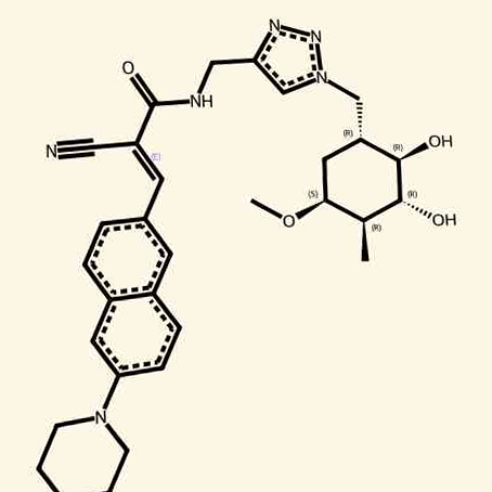 CO[C@H]1C[C@H](Cn2cc(CNC(=O)/C(C#N)=C/c3ccc4cc(N5CCCCC5)ccc4c3)nn2)[C@@H](O)[C@H](O)[C@H]1C